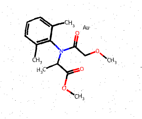 COCC(=O)N(c1c(C)cccc1C)C(C)C(=O)OC.[Au]